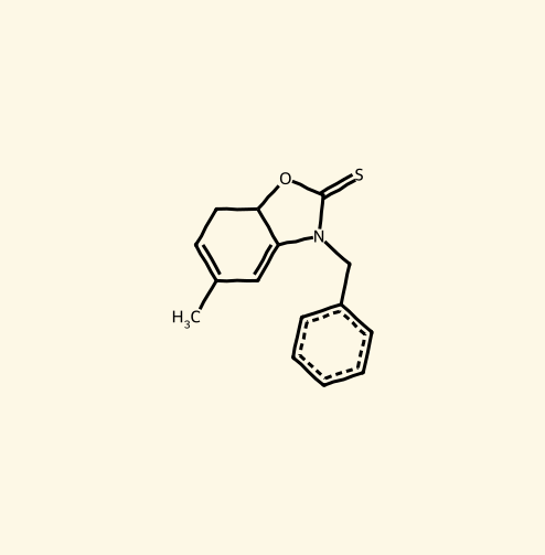 CC1=CCC2OC(=S)N(Cc3ccccc3)C2=C1